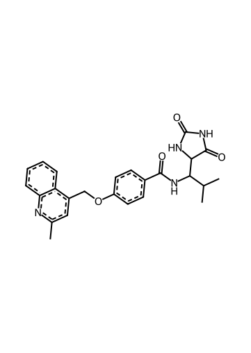 Cc1cc(COc2ccc(C(=O)NC(C(C)C)C3NC(=O)NC3=O)cc2)c2ccccc2n1